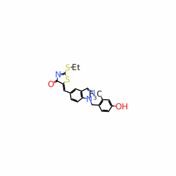 CCSC1=NC(=O)C(=Cc2ccc3c(cnn3Cc3ccc(O)cc3C(F)(F)F)c2)S1